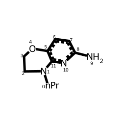 CCCN1CCOc2ccc(N)nc21